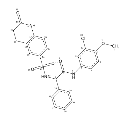 COc1ccc(NC(=O)C(NS(=O)(=O)c2ccc3c(c2)CCC(=O)N3)c2ccccc2)cc1Cl